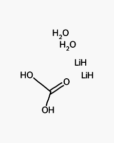 O.O.O=C(O)O.[LiH].[LiH]